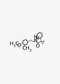 COc1ccc(CCNC(=O)C2(c3ccccn3)CC2)cc1C